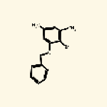 Cc1cc(C)c(Br)c(OCc2ccccc2)c1